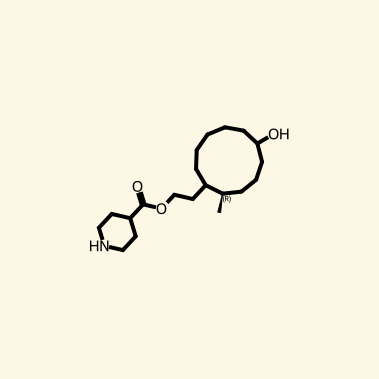 C[C@@H]1CCCC(O)CCCCCC1CCOC(=O)C1CCNCC1